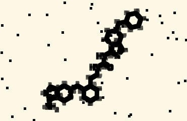 Nc1ncc2n1CCN(CC1CCCCC1CCNC(=O)Nc1ncc3n1CCN(CC1CCCCC1)C3)C2